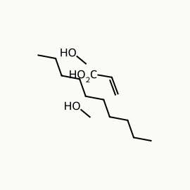 C=CC(=O)O.CCCCCCCCCC.CO.CO